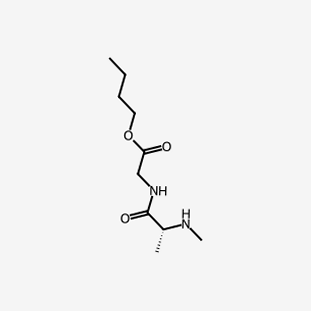 CCCCOC(=O)CNC(=O)[C@@H](C)NC